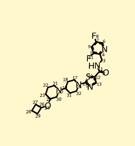 O=C(NCc1ncc(F)cc1F)c1cnc(N2CCC(N3CCCC(OC4CCC4)C3)CC2)s1